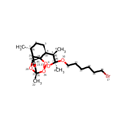 C[C@@H]1CC[C@@H]([C@@H](C)[C@](C)(O)OCCCCCCBr)[C@@]23CO[C@](C)(CCC12)OO3